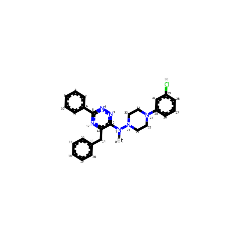 CCN(c1nnc(-c2ccccc2)nc1Cc1ccccc1)N1CCN(c2cccc(Cl)c2)CC1